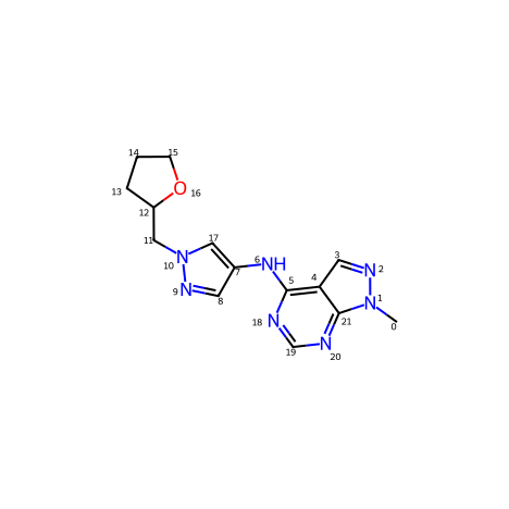 Cn1ncc2c(Nc3cnn(CC4CCCO4)c3)ncnc21